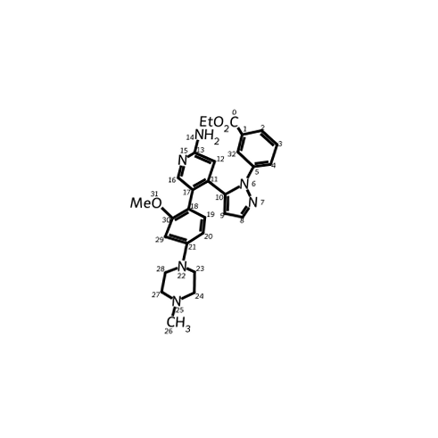 CCOC(=O)c1cccc(-n2nccc2-c2cc(N)ncc2-c2ccc(N3CCN(C)CC3)cc2OC)c1